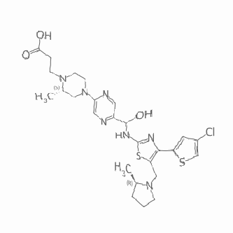 C[C@@H]1CCCN1Cc1sc(NC(O)c2cnc(N3CCN(CCC(=O)O)[C@@H](C)C3)cn2)nc1-c1cc(Cl)cs1